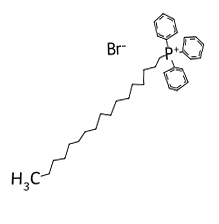 CCCCCCCCCCCCCCCCC[P+](c1ccccc1)(c1ccccc1)c1ccccc1.[Br-]